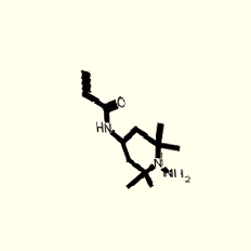 C=CC(=O)NC1CC(C)(C)N(N)C(C)(C)C1